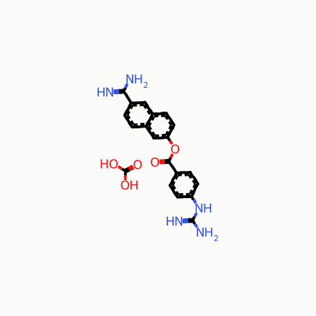 N=C(N)Nc1ccc(C(=O)Oc2ccc3cc(C(=N)N)ccc3c2)cc1.O=C(O)O